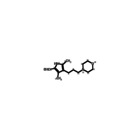 Cc1[nH]c(C=O)c(C)c1CCCN1CCOCC1